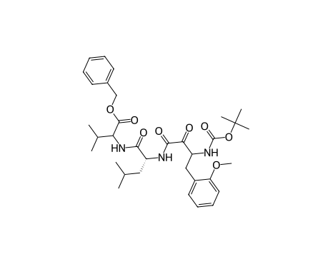 COc1ccccc1CC(NC(=O)OC(C)(C)C)C(=O)C(=O)N[C@H](CC(C)C)C(=O)NC(C(=O)OCc1ccccc1)C(C)C